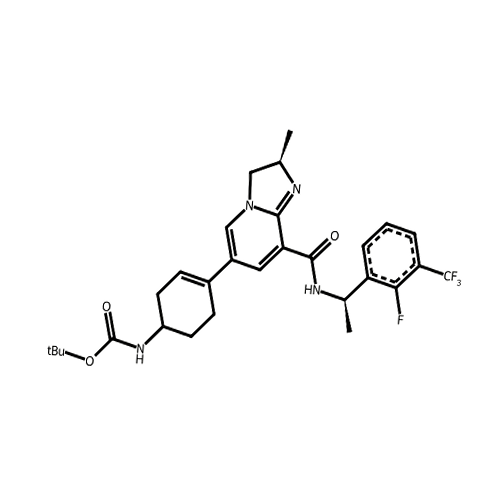 C[C@@H]1CN2C=C(C3=CCC(NC(=O)OC(C)(C)C)CC3)C=C(C(=O)N[C@H](C)c3cccc(C(F)(F)F)c3F)C2=N1